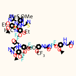 CCOc1cc(N(CC2CCOC2)N(Cc2cncnc2)c2ccc(OC(F)F)c(OC3CC3)c2)ccc1OC(F)F.CCOc1cc(N(NCc2cncs2)C(c2ccc(OC)c(SC)c2)(c2cnc(C)s2)N(Cc2cncnc2)c2ccc(OC3CC3)c(OCC)c2)ccc1OC(F)F.COc1ccc(NCc2cnco2)cc1OC(F)(F)F.FC(F)Oc1ccc(NCc2cnco2)cc1OC1CC1